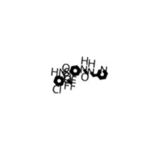 O=C(NCc1cccnc1)Nc1ccc(S(=O)(=O)Nc2ccc(Cl)cc2OC(F)(F)F)cc1